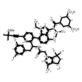 CSC(C)(C)C#Cc1ccc(-c2ccc(Cl)c3c(N(C(=O)C4CC(C(=O)O)CC(C(=O)O)C4)[S+](C)[O-])nn(CC(F)(F)F)c23)c(C(Cc2cc(F)cc(F)c2)NC(=O)Cn2nc(C(F)(F)F)c3c2C(F)(F)C[C@@H]3C)n1